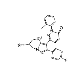 Cc1ccccc1-n1nc(-c2c(-c3ccc(F)cc3)nn3c2NCC(C#N)C3)ccc1=O